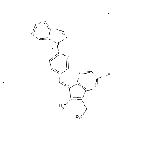 CC1=C(CC(=O)O)c2cc(F)ccc2/C1=C\c1ccc(-n2ccc3ccccc32)cc1